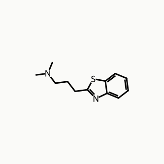 CN(C)CCCc1nc2ccccc2s1